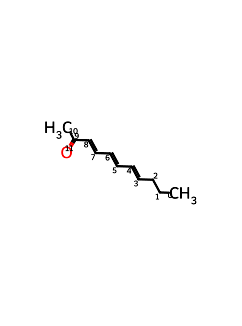 CCCC=CC=CC=CC(C)=O